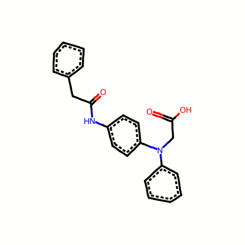 O=C(O)CN(c1ccccc1)c1ccc(NC(=O)Cc2ccccc2)cc1